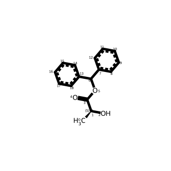 C[C@H](O)C(=O)OC(c1ccccc1)c1ccccc1